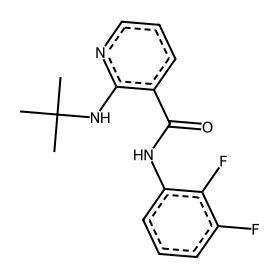 CC(C)(C)Nc1ncccc1C(=O)Nc1cccc(F)c1F